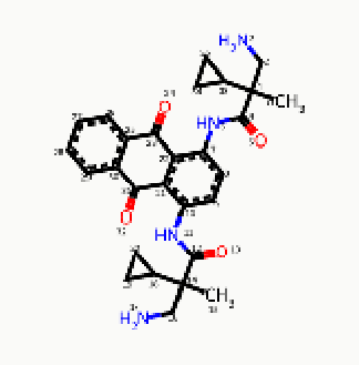 CC(CN)(C(=O)Nc1ccc(NC(=O)C(C)(CN)C2CC2)c2c1C(=O)c1ccccc1C2=O)C1CC1